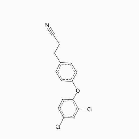 N#CCCc1ccc(Oc2ccc(Cl)cc2Cl)cc1